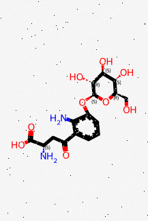 Nc1c(O[C@@H]2O[C@H](CO)[C@@H](O)[C@H](O)[C@H]2O)cccc1C(=O)C[C@H](N)C(=O)O